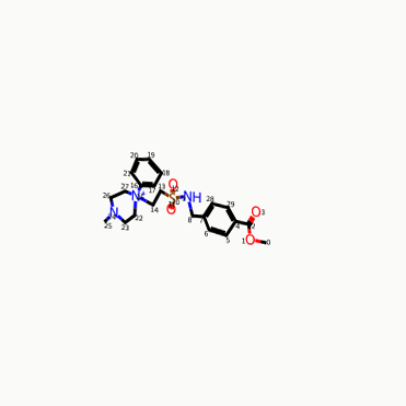 COC(=O)c1ccc(CNS(=O)(=O)CC[N+]2(c3ccccc3)CCN(C)CC2)cc1